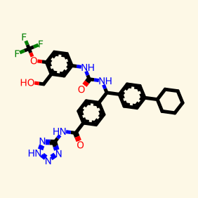 O=C(Nc1ccc(OC(F)(F)F)c(CO)c1)NC(c1ccc(C(=O)Nc2nn[nH]n2)cc1)c1ccc(C2CCCCC2)cc1